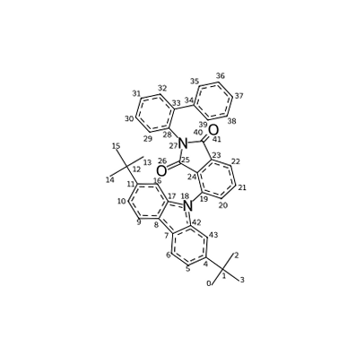 CC(C)(C)c1ccc2c3ccc(C(C)(C)C)cc3n(-c3cccc4c3C(=O)N(c3ccccc3-c3ccccc3)C4=O)c2c1